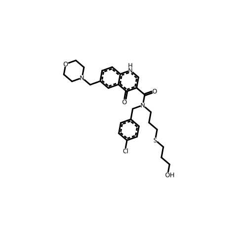 O=C(c1c[nH]c2ccc(CN3CCOCC3)cc2c1=O)N(CCCSCCCO)Cc1ccc(Cl)cc1